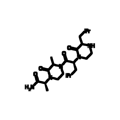 CC(C)CC1NCCN([C@@H](CC(C)C)C(=O)N2CCN([C@@H](C)C(N)=O)C(=O)C2C)C1=O